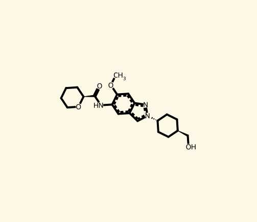 COc1cc2nn([C@H]3CC[C@H](CO)CC3)cc2cc1NC(=O)[C@@H]1CCCCO1